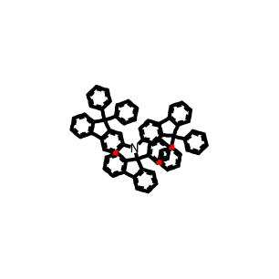 c1ccc(C2(c3ccccc3)c3ccccc3-c3ccc(N(c4ccc5c(c4)C(c4ccccc4)(c4ccccc4)c4ccccc4-5)C4(c5ccccc5)c5ccccc5-c5ccccc54)cc32)cc1